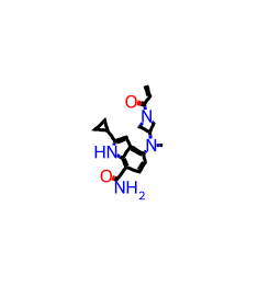 C=CC(=O)N1CC(N(C)c2ccc(C(N)=O)c3[nH]c(C4CC4)cc23)C1